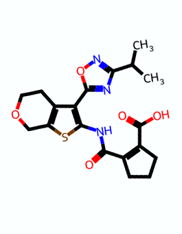 CC(C)c1noc(-c2c(NC(=O)C3=C(C(=O)O)CCC3)sc3c2CCOC3)n1